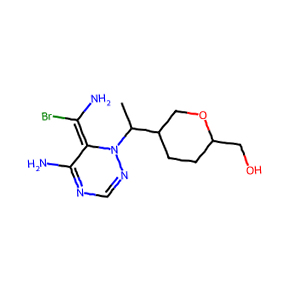 CC(C1CCC(CO)OC1)N1N=CN=C(N)/C1=C(/N)Br